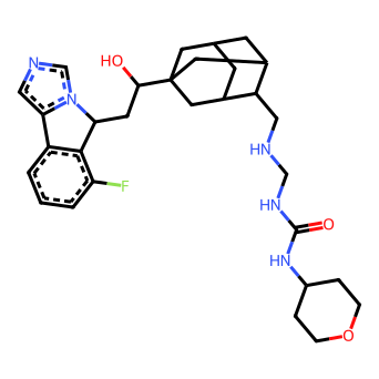 O=C(NCNCC1C2CC3CC1CC(C(O)CC1c4c(F)cccc4-c4cncn41)(C3)C2)NC1CCOCC1